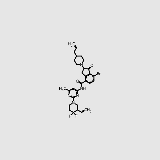 C=CCC1CCN(C2Cc3c(C(=O)Nc4cc(C)nc(N5CCC(F)(F)C(C=C)C5)n4)ccc(Br)c3C2=O)CC1